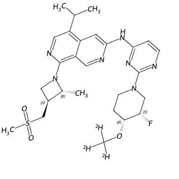 [2H]C([2H])([2H])O[C@@H]1CCN(c2nccc(Nc3cc4c(C(C)C)cnc(N5C[C@H](CS(C)(=O)=O)[C@H]5C)c4cn3)n2)C[C@@H]1F